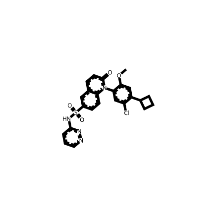 COc1cc(C2CCC2)c(Cl)cc1-n1c(=O)ccc2cc(S(=O)(=O)Nc3cccnn3)ccc21